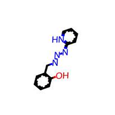 Oc1ccccc1CN=NN=c1cccc[nH]1